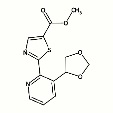 COC(=O)c1cnc(-c2ncccc2C2COCO2)s1